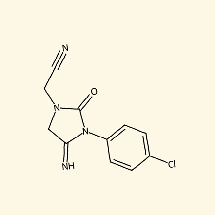 N#CCN1CC(=N)N(c2ccc(Cl)cc2)C1=O